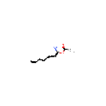 C=CCCCCC(N)OC(=O)C(F)(F)F